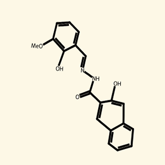 COc1cccc(/C=N/NC(=O)c2cc3ccccc3cc2O)c1O